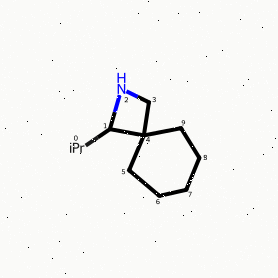 CC(C)C1NCC12CCCCC2